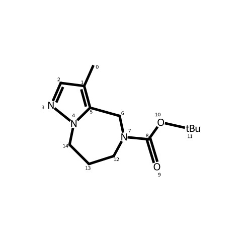 Cc1cnn2c1CN(C(=O)OC(C)(C)C)CCC2